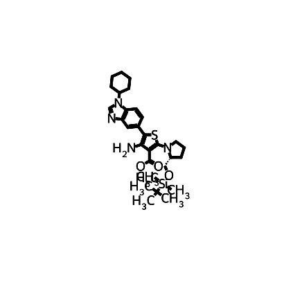 COC(=O)c1c(N2CCC[C@@H]2CO[Si](C)(C)C(C)(C)C)sc(-c2ccc3c(c2)ncn3C2CCCCC2)c1N